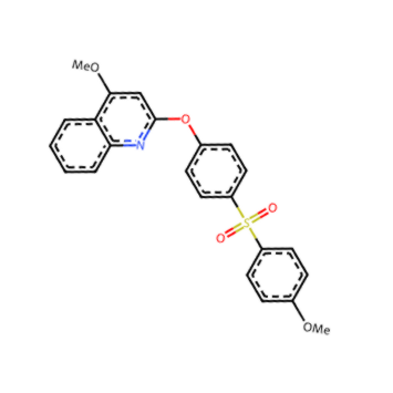 COc1ccc(S(=O)(=O)c2ccc(Oc3cc(OC)c4ccccc4n3)cc2)cc1